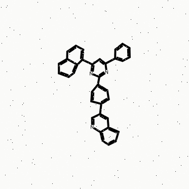 c1ccc(-c2cc(-c3cccc4ccccc34)nc(-c3ccc(-c4cnc5ccccc5c4)cc3)n2)cc1